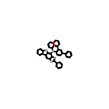 c1ccc(-c2ccc(N(c3ccccc3)c3c4nc(-c5ccccc5)oc4cc4c3oc3ccccc34)c(-c3ccccc3)c2)cc1